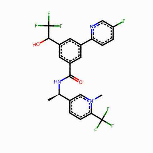 C[C@@H](NC(=O)c1cc(-c2ccc(F)cn2)cc(C(O)C(F)(F)F)c1)c1ccc(C(F)(F)F)[n+](C)c1